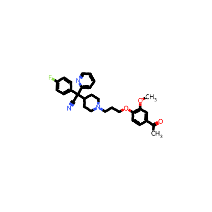 COc1cc(C(C)=O)ccc1OCCCN1CCC(C(C#N)(c2ccc(F)cc2)c2ccccn2)CC1